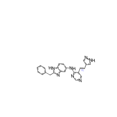 C(=C\c1cncnc1Nc1ccc2[nH]c(Cc3ccccc3)nc2c1)/c1cn[nH]c1